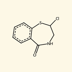 O=C1NCC(Cl)Sc2ccccc21